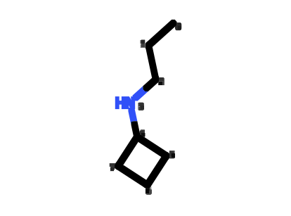 CCCNC1CCC1